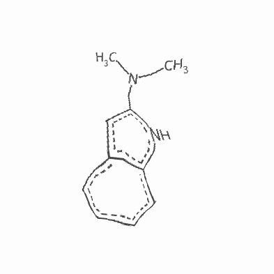 CN(C)c1cc2ccccc2[nH]1